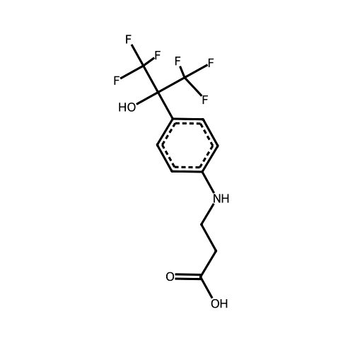 O=C(O)CCNc1ccc(C(O)(C(F)(F)F)C(F)(F)F)cc1